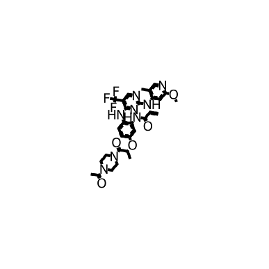 C=CC(=O)Nc1cc(OC(C)C(=O)N2CCN(C(C)=O)CC2)ccc1Nc1nc(Nc2cc(OC)ncc2C)ncc1C(F)(F)F